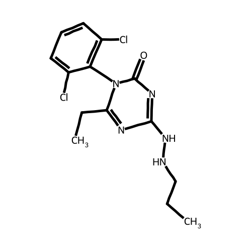 CCCNNc1nc(CC)n(-c2c(Cl)cccc2Cl)c(=O)n1